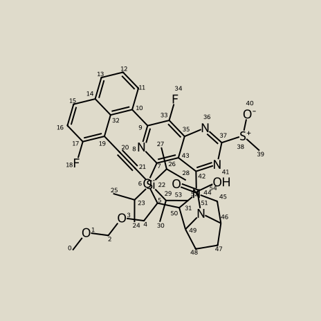 COCOCC1Oc2nc(-c3cccc4ccc(F)c(C#C[Si](C(C)C)(C(C)C)C(C)C)c34)c(F)c3nc([S+](C)[O-])nc(c23)N2CC3CCC(C12)N3C(=O)O